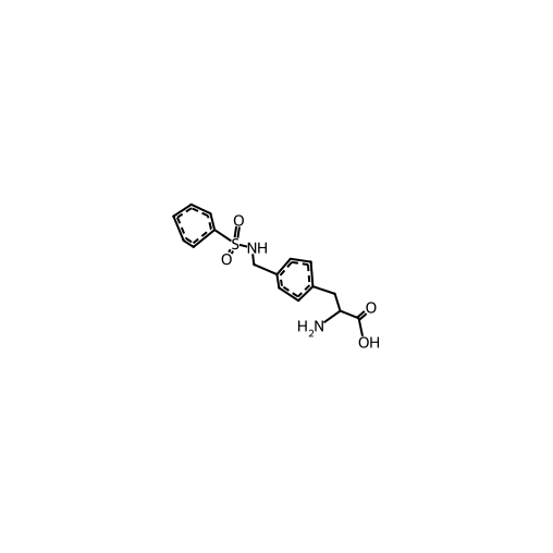 NC(Cc1ccc(CNS(=O)(=O)c2ccccc2)cc1)C(=O)O